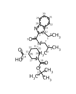 CCn1c(C(=O)N(CC(C)C)[C@H]2C[C@@H](C(=O)O)CN(C(=O)OC(C)(C)C)C2)nc2ccccc21